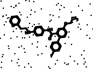 CCOc1ccc(-c2ccc(F)cc2)c(C(=O)Nc2ccc(NCCc3ccccn3)cc2)c1